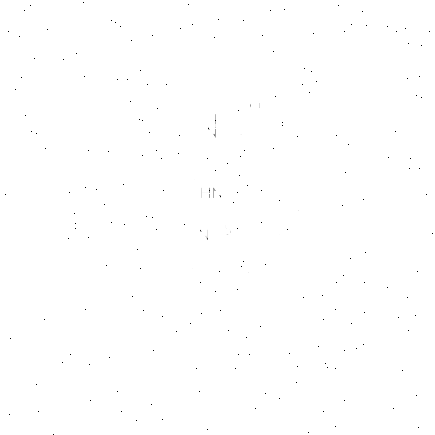 O=C1CC(C2CC2)Nc2c(cccc2-c2cc3ccccc3n2SCc2ccccc2)N1